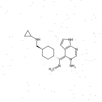 C=N/C(=C1/c2cc[nH]c2N=CN1N)[C@H]1CC[C@H](CNC2CC2)CC1